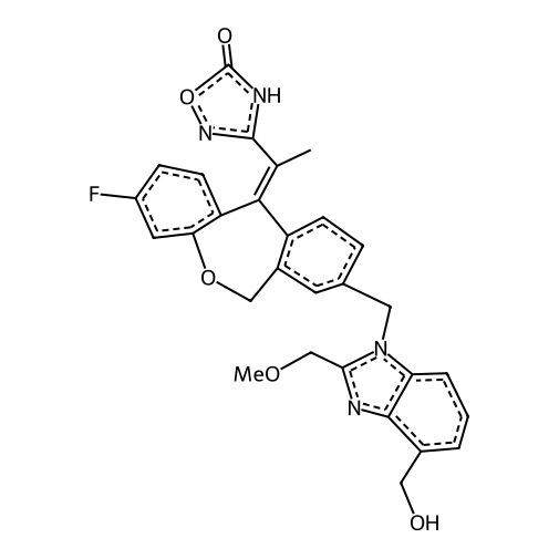 COCc1nc2c(CO)cccc2n1Cc1ccc2c(c1)COc1cc(F)ccc1C2=C(C)c1noc(=O)[nH]1